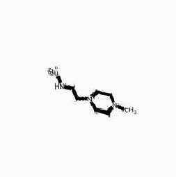 CCC(C)NCCN1CCN(C)CC1